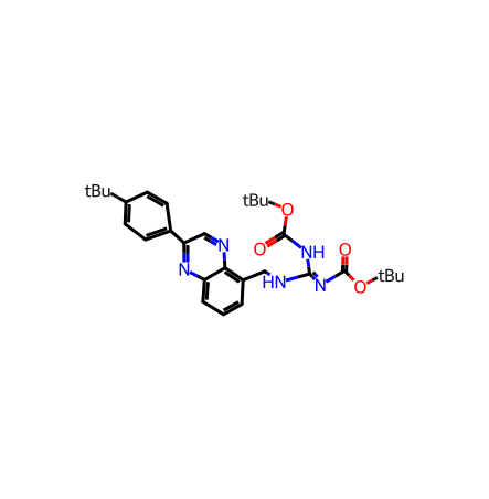 CC(C)(C)OC(=O)/N=C(/NCc1cccc2nc(-c3ccc(C(C)(C)C)cc3)cnc12)NC(=O)OC(C)(C)C